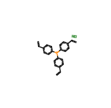 C=Cc1ccc(P(c2ccc(C=C)cc2)c2ccc(C=C)cc2)cc1.Cl